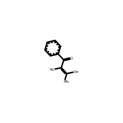 CC(C)(C)/C(O)=C(\C#N)C(=O)c1ccccc1